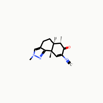 [C-]#[N+]C1=C[C@]2(C)c3nn(C)cc3CC[C@H]2[C@H](C)C1=O